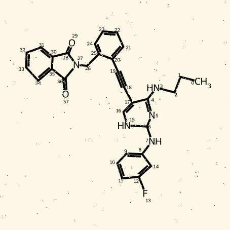 CCCNC1=NC(Nc2cccc(F)c2)NC=C1C#Cc1ccccc1CN1C(=O)c2ccccc2C1=O